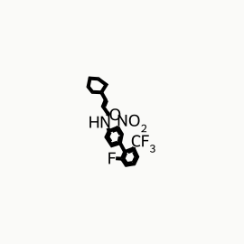 O=C(C=CC1CCCCC1)Nc1ccc(-c2c(F)cccc2C(F)(F)F)cc1[N+](=O)[O-]